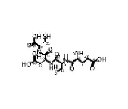 N[C@@H](CCC(=O)O)C(=O)N[C@@H](CS)C(=O)N[C@@H](CC(=O)O)C(=O)N[C@@H](CS)C(=O)O